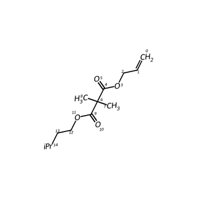 C=CCOC(=O)C(C)(C)C(=O)OCCC(C)C